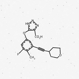 Cc1c(F)cc(Oc2[nH]nnc2C(=O)O)cc1C#CC1CCOCC1